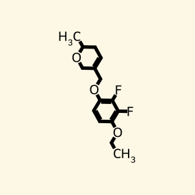 CCOc1ccc(OCC2=CCC(C)OC2)c(F)c1F